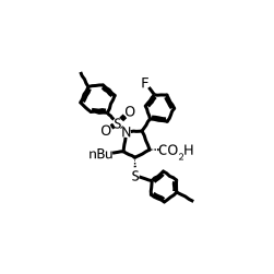 CCCCC1[C@@H](Sc2ccc(C)cc2)[C@@H](C(=O)O)C(c2cccc(F)c2)N1S(=O)(=O)c1ccc(C)cc1